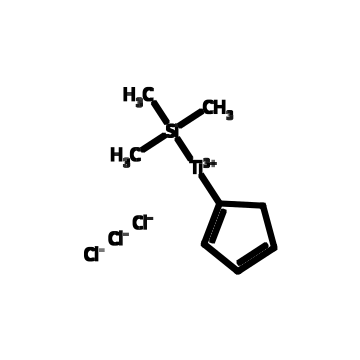 C[Si](C)(C)[Ti+3][C]1=CC=CC1.[Cl-].[Cl-].[Cl-]